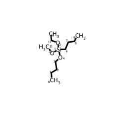 CCCCO[Si](CCCC)(OC)OCC